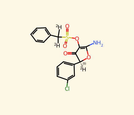 [2H]C([2H])(c1ccccc1)S(=O)(=O)OC1=C(N)O[C@@]([2H])(c2cccc(Cl)c2)C1=O